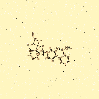 NC(=O)c1ccccc1-c1cnc(NCC2(c3ncccc3F)CC(F)C2)nc1